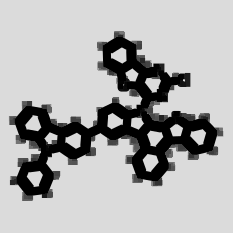 Clc1nc(-n2c3ccc(-c4ccc5c(c4)c4ccccc4n5-c4ccccc4)cc3c3c4ccccc4c4c5ccccc5sc4c32)c2oc3ccccc3c2n1